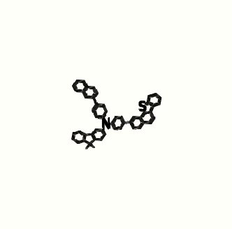 CC1(C)c2ccccc2-c2cc(N(c3ccc(-c4ccc5ccccc5c4)cc3)c3ccc(-c4ccc5ccc6c7ccccc7sc6c5c4)cc3)ccc21